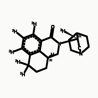 [2H]c1c([2H])c2c3c(c1[2H])C([2H])([2H])CC[C@@H]3CN([C@]1([2H])CN3CCC1CC3)C2=O